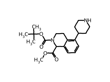 COC(=O)C1c2cccc(C3CCNCC3)c2CCN1C(=O)OC(C)(C)C